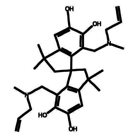 C=CCN(C)Cc1c(O)c(O)cc2c1C1(CC2(C)C)CC(C)(C)c2cc(O)c(O)c(CN(C)CC=C)c21